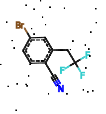 N#Cc1ccc(Br)cc1CC(F)(F)F